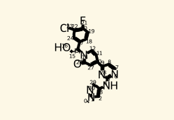 Cn1cc(Nc2nccc(-c3ccn([C@H](CO)c4ccc(F)c(Cl)c4)c(=O)c3)n2)cn1